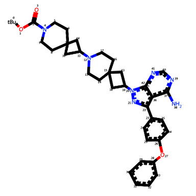 CC(C)(C)OC(=O)N1CCC2(CC1)CC(N1CCC3(CC1)CC(n1nc(-c4ccc(Oc5ccccc5)cc4)c4c(N)ncnc41)C3)C2